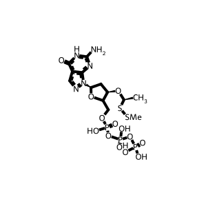 CSS[C@H](C)O[C@@H]1C[C@H](n2ncc3c(=O)[nH]c(N)nc32)OC1COP(=O)(O)OP(=O)(O)OP(=O)(O)O